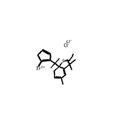 CCSC1(C(C)(C)C2=[C]([Ti+2])CC=C2)CC=C(C)C=C1C(C)(C)C.[Cl-].[Cl-]